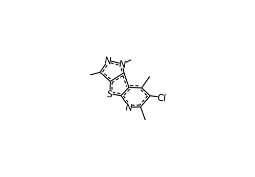 Cc1nc2sc3c(C)nn(C)c3c2c(C)c1Cl